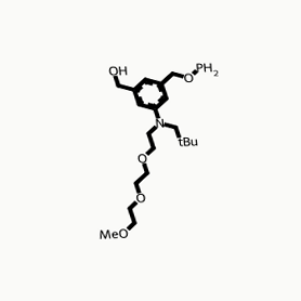 COCCOCCOCCN(CC(C)(C)C)c1cc(CO)cc(COP)c1